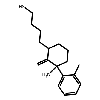 C=C1C(CCCCS)CCCC1(N)c1ccccc1C